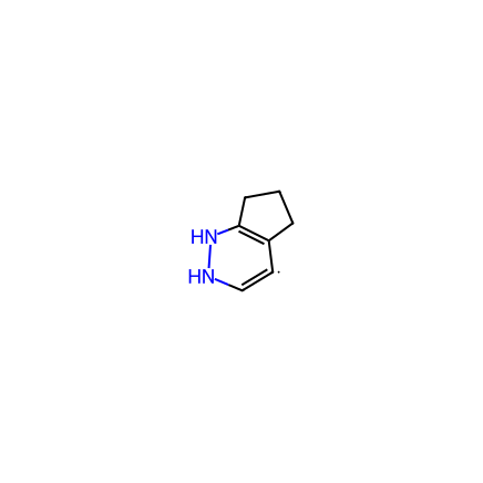 [C]1=CNNC2=C1CCC2